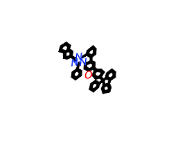 c1ccc(-c2nc(-c3ccc4ccccc4c3)nc(-c3ccccc3-c3ccc4oc5cc(C6(c7ccccc7)c7ccccc7-c7ccccc76)ccc5c4c3)n2)cc1